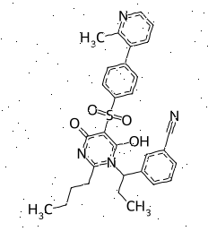 CCCCc1nc(=O)c(S(=O)(=O)c2ccc(-c3cccnc3C)cc2)c(O)n1C(CC)c1cccc(C#N)c1